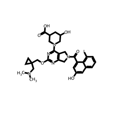 CN(C)CC1(COc2nc3c(c(N4CC(O)CC(C(=O)O)C4)n2)CN(C(=O)c2cc(O)cc4cccc(I)c24)C3)CC1